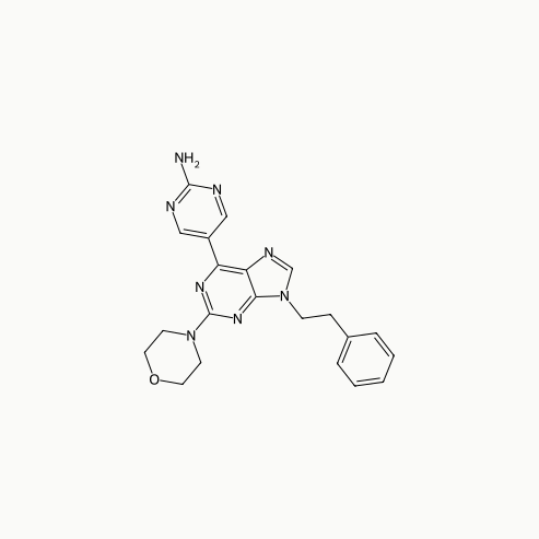 Nc1ncc(-c2nc(N3CCOCC3)nc3c2ncn3CCc2ccccc2)cn1